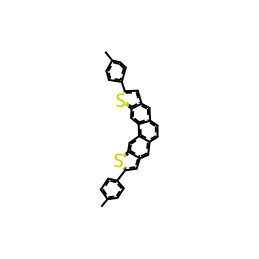 Cc1ccc(-c2cc3cc4ccc5cc6cc(-c7ccc(C)cc7)sc6cc5c4cc3s2)cc1